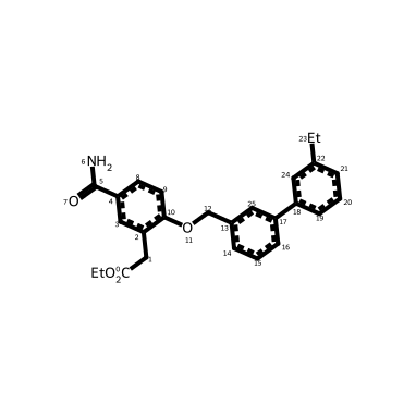 CCOC(=O)Cc1cc(C(N)=O)ccc1OCc1cccc(-c2cccc(CC)c2)c1